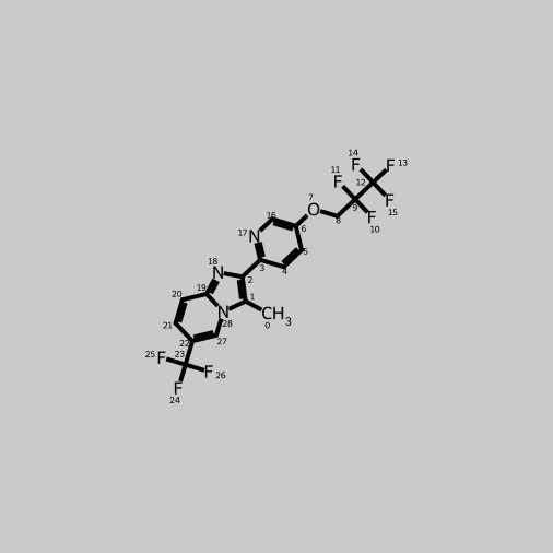 Cc1c(-c2ccc(OCC(F)(F)C(F)(F)F)cn2)nc2ccc(C(F)(F)F)cn12